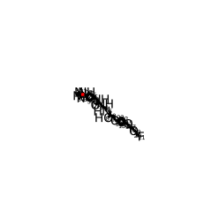 O=C(NCCNCC(O)COc1ccc(OCCOCCF)cc1)Nc1ccc(-c2nnn[nH]2)cc1